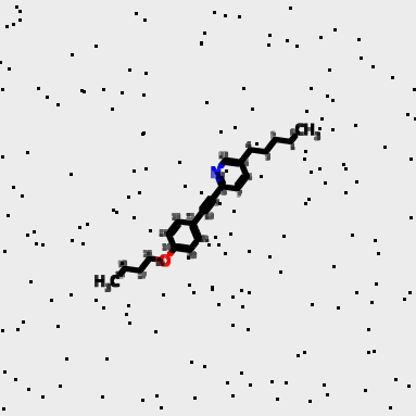 CCCCCc1ccc(C#Cc2ccc(OCCCC)cc2)nc1